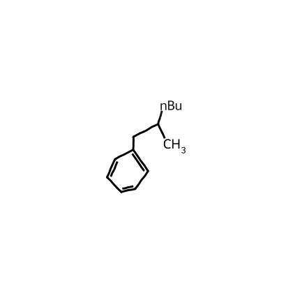 CCCCC(C)Cc1ccccc1